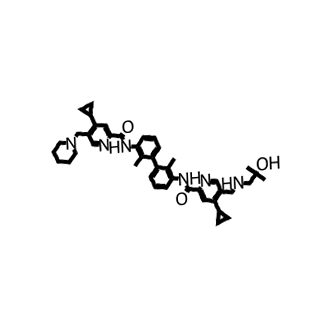 Cc1c(NC(=O)c2cc(C3CC3)c(CNCC(C)(C)O)cn2)cccc1-c1cccc(NC(=O)c2cc(C3CC3)c(CN3CCCCC3)cn2)c1C